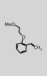 C=Cc1[c]cccc1OCCOC